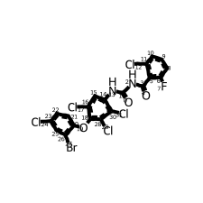 O=C(NC(=O)c1c(F)cccc1Cl)Nc1cc(Cl)c(Oc2ccc(Cl)cc2Br)c(Cl)c1Cl